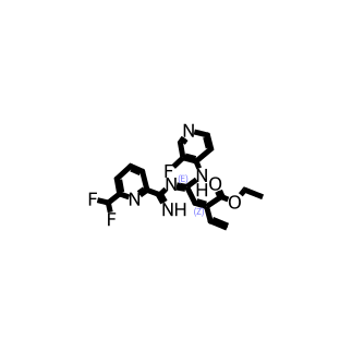 C=C/C(=C/C(=N\C(=N)c1cccc(C(F)F)n1)Nc1ccncc1F)C(=O)OCC